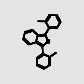 Cc1ccccc1-c1oc(-c2ccccc2C)c2ccccc12